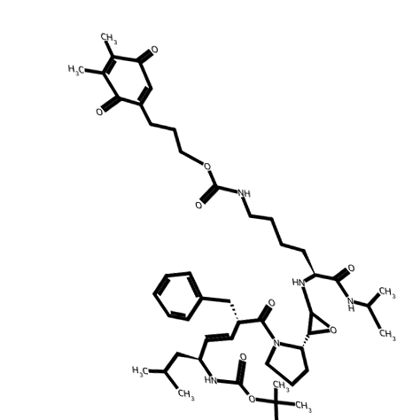 CC1=C(C)C(=O)C(CCCOC(=O)NCCCC[C@H](NC2OC2[C@@H]2CCCN2C(=O)[C@H](/C=C/[C@H](CC(C)C)NC(=O)OC(C)(C)C)Cc2ccccc2)C(=O)NC(C)C)=CC1=O